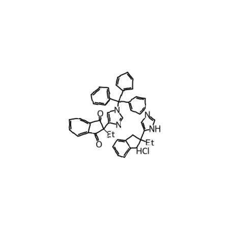 CCC1(c2cn(C(c3ccccc3)(c3ccccc3)c3ccccc3)cn2)C(=O)c2ccccc2C1=O.CCC1(c2cnc[nH]2)Cc2ccccc2C1.Cl